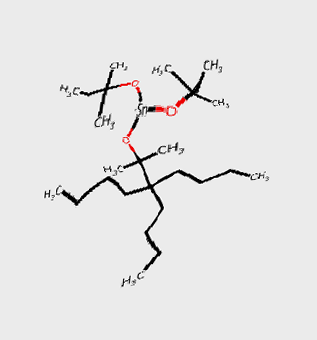 CCCCC(CCCC)(CCCC)C(C)(C)[O][Sn]([O]C(C)(C)C)[O]C(C)(C)C